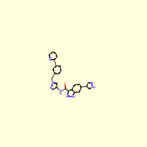 O=C(Nc1cnn(Cc2cccc(-c3ccccn3)c2)c1)c1n[nH]c2cc(-c3cn[nH]c3)ccc12